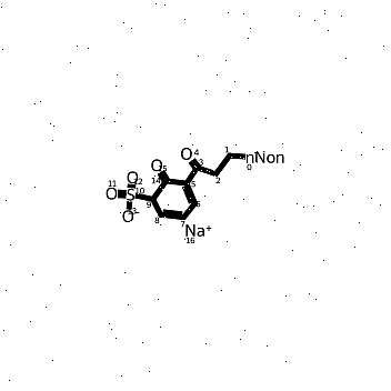 CCCCCCCCCCCC(=O)C1=CC=CC(S(=O)(=O)[O-])C1=O.[Na+]